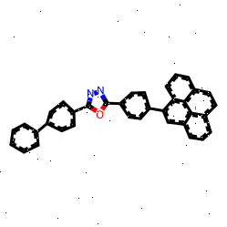 c1ccc(-c2ccc(-c3nnc(-c4ccc(-c5cc6cccc7ccc8cccc5c8c76)cc4)o3)cc2)cc1